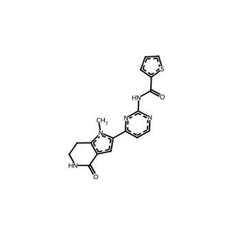 Cn1c(-c2ccnc(NC(=O)c3cccs3)n2)cc2c1CCNC2=O